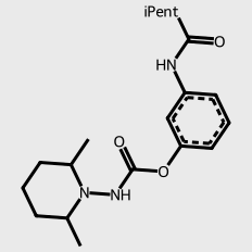 CCCC(C)C(=O)Nc1cccc(OC(=O)NN2C(C)CCCC2C)c1